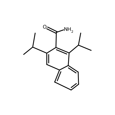 CC(C)c1cc2ccccc2c(C(C)C)c1C(N)=O